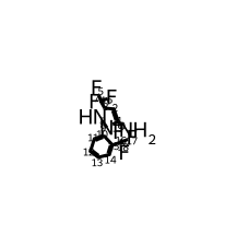 NC1=CC(C(F)(F)F)NN1c1ccccc1C(F)(F)F